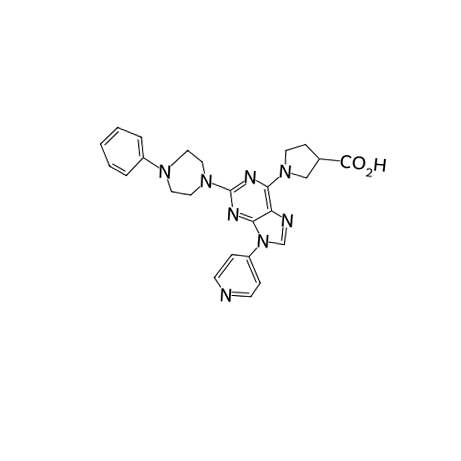 O=C(O)C1CCN(c2nc(N3CCN(c4ccccc4)CC3)nc3c2ncn3-c2ccncc2)C1